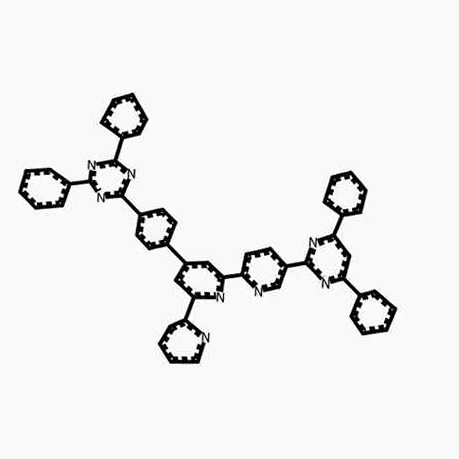 c1ccc(-c2cc(-c3ccccc3)nc(-c3ccc(-c4cc(-c5ccc(-c6nc(-c7ccccc7)nc(-c7ccccc7)n6)cc5)cc(-c5ccccn5)n4)nc3)n2)cc1